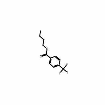 CCCCOC(=O)c1ccc(C(F)(F)F)cc1